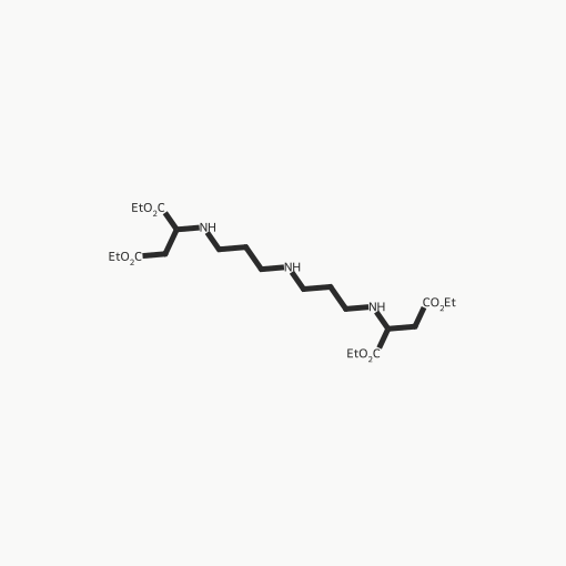 CCOC(=O)CC(NCCCNCCCNC(CC(=O)OCC)C(=O)OCC)C(=O)OCC